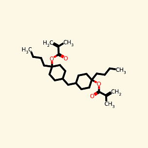 C=C(C)C(=O)OC1(CCCC)CCC(CC2CCC(CCCC)(OC(=O)C(=C)C)CC2)CC1